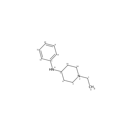 CCN1CCC(Nc2ccccc2)CC1